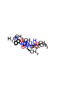 CC#CCn1c(N2CCCC(NC(=O)OC(C)(C)C)C2)nc2c1c(=O)n(Cc1ccc(N(C)C)c3ccccc13)c(=O)n2C